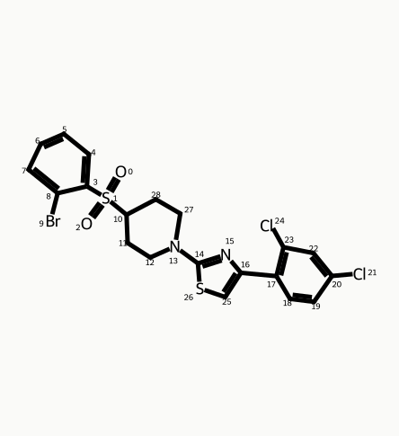 O=S(=O)(c1ccccc1Br)C1CCN(c2nc(-c3ccc(Cl)cc3Cl)cs2)CC1